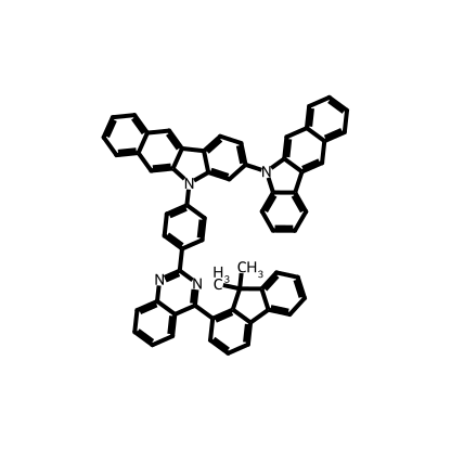 CC1(C)c2ccccc2-c2cccc(-c3nc(-c4ccc(-n5c6cc(-n7c8ccccc8c8cc9ccccc9cc87)ccc6c6cc7ccccc7cc65)cc4)nc4ccccc34)c21